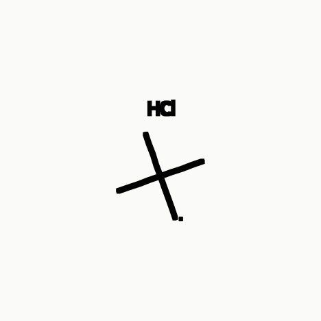 Cl.[CH2]C(C)(C)C